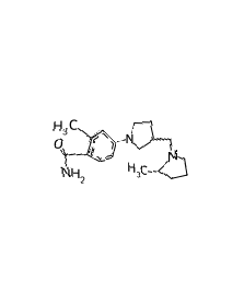 Cc1cc(N2CCC(CN3CCCC3C)C2)ccc1C(N)=O